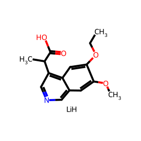 CCOc1cc2c(C(C)C(=O)O)cncc2cc1OC.[LiH]